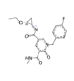 CCO[C@@H]1C/C1=N/C(=O)c1cc(C(=O)NC)c(=O)n(Cc2ccc(F)cc2)c1